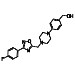 OCc1ccc(N2CCN(Cc3nc(-c4ccc(F)cc4)no3)CC2)cc1